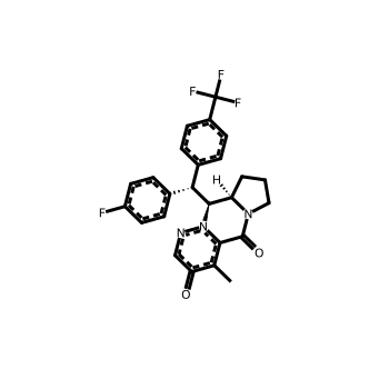 Cc1c2n(ncc1=O)[C@@H]([C@H](c1ccc(F)cc1)c1ccc(C(F)(F)F)cc1)[C@H]1CCCN1C2=O